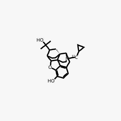 CC(C)(O)C1C[C@@]23CCC1C1Oc4c(O)ccc5c4C12CCN([11CH2]C1CC1)C3C5